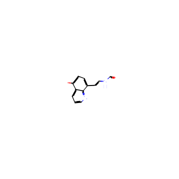 O=CNC=Cc1ccc(O)c2cccnc12